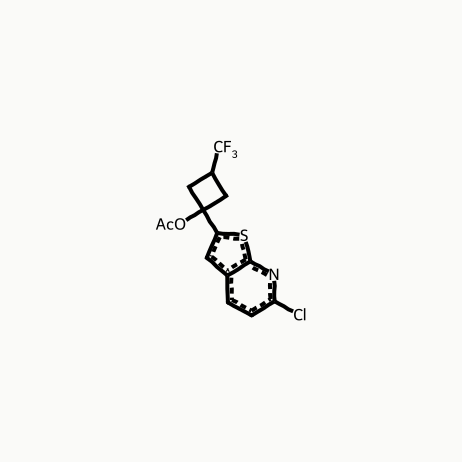 CC(=O)OC1(c2cc3ccc(Cl)nc3s2)CC(C(F)(F)F)C1